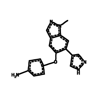 Cn1ncc2cc(Oc3ccc(N)cc3)c(-c3cn[nH]c3)cc21